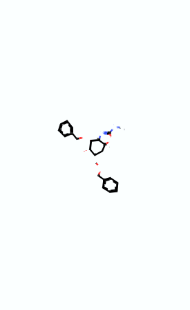 CCCNC1=N[C@@H]2[C@@H](OCc3ccccc3)[C@H](O)[C@@H](COCc3ccccc3)C[C@@H]2O1